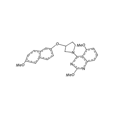 COc1ccc2cc(OC3CCN(c4nc(OC)nc5cccc(OC)c45)C3)ccc2c1